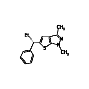 [CH2]C[C@@H](c1ccccc1)c1cc2c(C)nn(C)c2s1